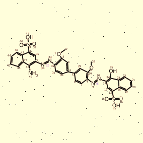 COc1cc(-c2ccc(/N=N/c3cc(S(=O)(=O)O)c4ccccc4c3O)c(OC)c2)ccc1/N=N/c1cc(S(=O)(=O)O)c2ccccc2c1N